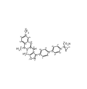 Cc1onc(-c2ccc(-c3ccc(C4(C(=O)O)CC4)cc3)cc2)c1NC(=O)OC(C)c1ccc(C(F)(F)F)cc1